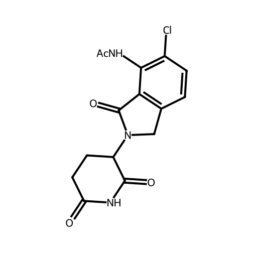 CC(=O)Nc1c(Cl)ccc2c1C(=O)N(C1CCC(=O)NC1=O)C2